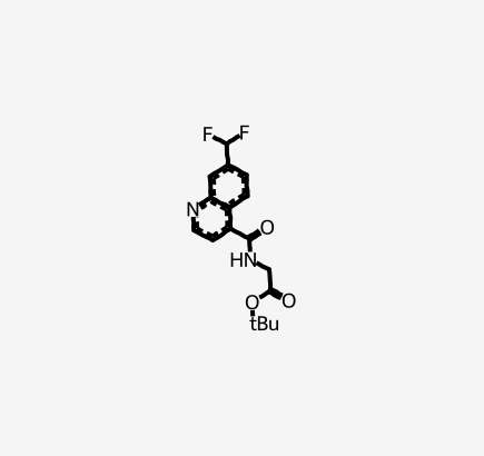 CC(C)(C)OC(=O)CNC(=O)c1ccnc2cc(C(F)F)ccc12